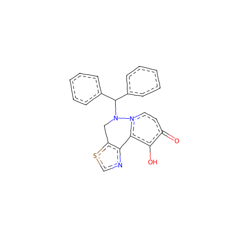 O=c1ccn2c(c1O)-c1ncsc1CN2C(c1ccccc1)c1ccccc1